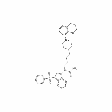 NC(=O)N(CCCCN1CCN(c2cccc3c2OCCC3)CC1)c1cn(S(=O)(=O)c2ccccc2)c2ncccc12